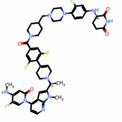 CNc1cc(=O)n(-c2ccnc3c2cc([C@H](C)N2CC=C(c4c(F)cc(C(=O)N5CCC(CN6CCN(c7ccc(N[C@@H]8CCC(=O)NC8=O)cc7F)CC6)CC5)cc4F)CC2)n3C)cc1F